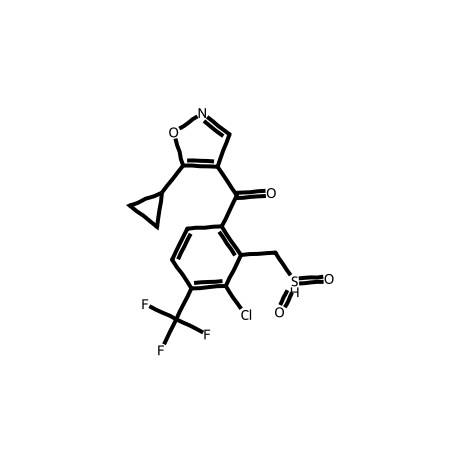 O=C(c1cnoc1C1CC1)c1ccc(C(F)(F)F)c(Cl)c1C[SH](=O)=O